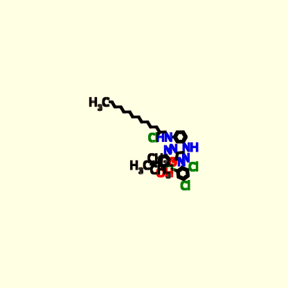 CCCCCCCCCCCCC(Cl)CNc1cccc(NC2=NN(c3c(Cl)cc(Cl)cc3Cl)C(=O)C2N=Nc2ccc(O)c(C(C)(C)C)c2)c1